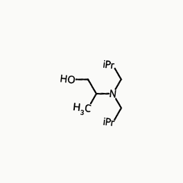 CC(C)CN(CC(C)C)C(C)CO